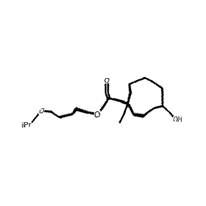 CC(C)OCCOC(=O)C1(C)CCCC(O)C1